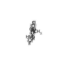 C[C@H]1CN(C(=O)Nc2ccc(F)cc2F)CCN1S(=O)(=O)c1ccc(Cl)cc1